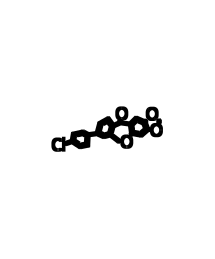 O=C1c2ccc(-c3ccc(Cl)cc3)cc2COc2cc3c(cc21)OCO3